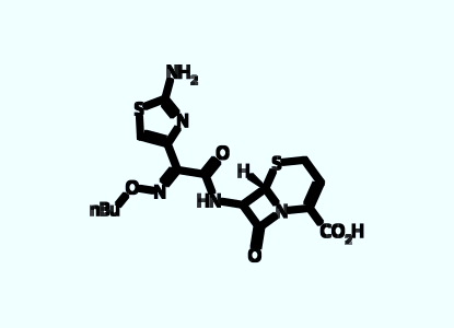 CCCCON=C(C(=O)NC1C(=O)N2C(C(=O)O)=CCS[C@@H]12)c1csc(N)n1